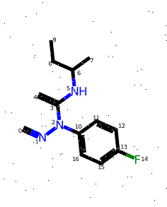 C=NN(C(=C)NC(C)CC)c1ccc(F)cc1